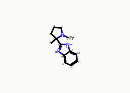 CC(C)N1CCCC1(C)c1nc2ccccc2[nH]1